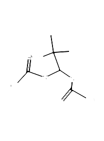 CCCC(=O)NC(NC(=O)CCC)C(C)(C)S(=O)(=O)O